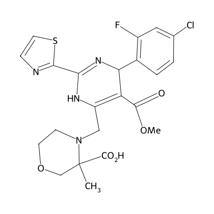 COC(=O)C1=C(CN2CCOCC2(C)C(=O)O)NC(c2nccs2)=NC1c1ccc(Cl)cc1F